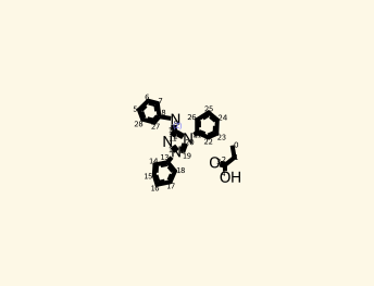 CCC(=O)O.c1ccc(/N=c2\[n-]n(-c3ccccc3)c[n+]2-c2ccccc2)cc1